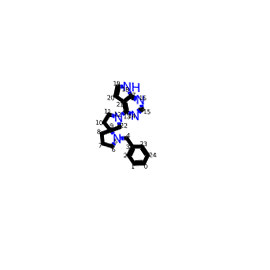 c1ccc(CN2CCCC23CCN(c2ncnc4[nH]ccc24)C3)cc1